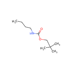 CCCCNC(=O)OCC(C)(C)C